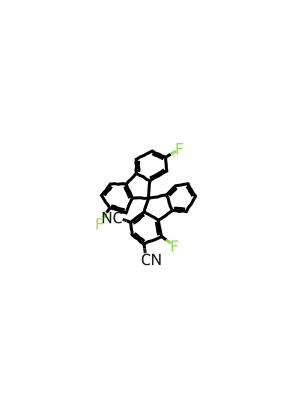 N#Cc1cc(C#N)c2c(c1F)-c1ccccc1C21c2cc(F)ccc2-c2ccc(F)cc21